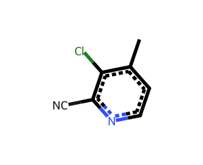 Cc1ccnc(C#N)c1Cl